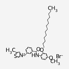 CCCCCCCCCCCCCCOc1cc(OC)ccc1NC(=O)c1cccc(C[n+]2csc(C)c2)c1.[Br-]